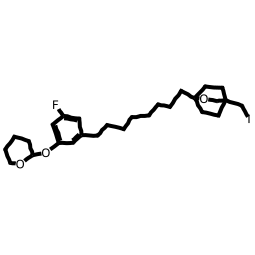 Fc1cc(CCCCCCCCC23CCC(CI)(CC2)CO3)cc(OC2CCCCO2)c1